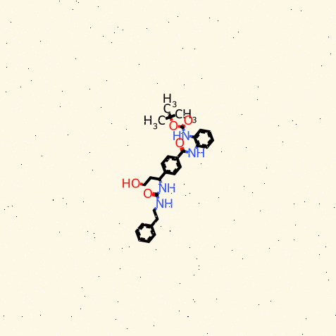 CC(C)(C)OC(=O)Nc1ccccc1NC(=O)c1ccc(C(CCO)NC(=O)NCCc2ccccc2)cc1